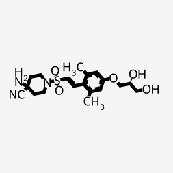 Cc1cc(OC[C@H](O)CO)cc(C)c1/C=C/S(=O)(=O)N1CCC(N)(C#N)CC1